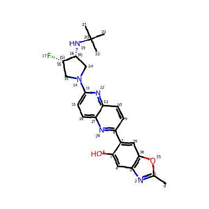 Cc1nc2cc(O)c(-c3ccc4nc(N5C[C@H](F)[C@H](NC(C)(C)C)C5)ccc4n3)cc2o1